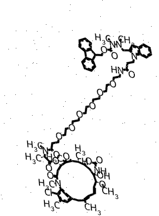 CO[C@@H]1/C=C/C=C(\C)Cc2cc(C)c(Cl)c(c2)N(C)C(=O)C[C@H](OC(=O)[C@H](C)N(C)C(=O)CCOCCOCCOCCOCCOCCOCCNC(=O)CCn2c(CN(C)N(C)C(=O)OCC3c4ccccc4-c4ccccc43)cc3ccccc32)C2(C)OC2[C@H](C)[C@@H]2C[C@@]1(O)NC(=O)O2